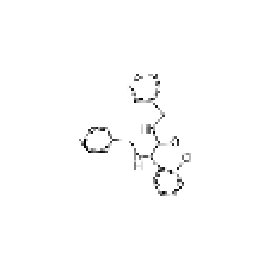 O=C(NCc1cccnc1)C(NCc1ccncc1)c1ccccc1Cl